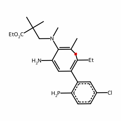 CCOC(=O)C(C)(C)CN(C)C(=C(C)C)/C(N)=C\C(=C(/C)CC)c1cc(Cl)ccc1P